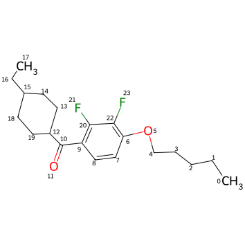 CCCCCOc1ccc(C(=O)C2CCC(CC)CC2)c(F)c1F